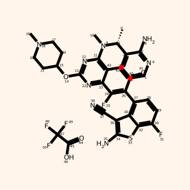 C[C@H](c1cccnc1N)N(C)c1nc(OC2CCN(C)CC2)nc2c(F)c(-c3ccc(F)c4sc(N)c(C#N)c34)c(Cl)cc12.O=C(O)C(F)(F)F